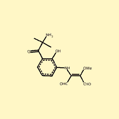 CO/C(C=O)=C(/C=O)Nc1cccc(C(=O)C(C)(C)N)c1O